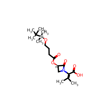 CC(C)=C(C(=O)O)N1C[C@@H](OC(=O)CCCO[Si](C)(C)C(C)(C)C)C1=O